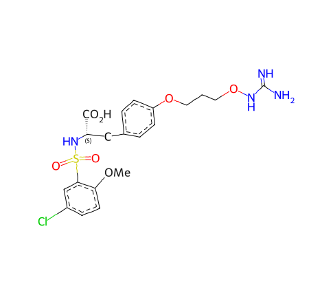 COc1ccc(Cl)cc1S(=O)(=O)N[C@@H](Cc1ccc(OCCCONC(=N)N)cc1)C(=O)O